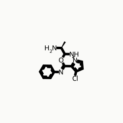 C[C@H](N)C1Nn2ccc(Cl)c2/C(=N/c2ccccc2)O1